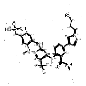 CNC(=O)c1nc(-c2cnn(CCCO)c2)ccc1Nc1cc(Nc2ccc(CP(=O)(O)O)cc2OC)ncc1C(F)(F)F